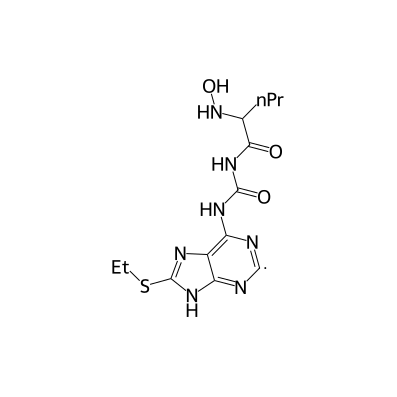 CCCC(NO)C(=O)NC(=O)Nc1n[c]nc2[nH]c(SCC)nc12